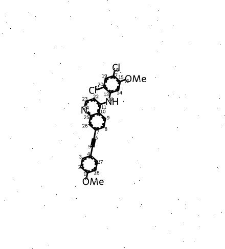 COc1ccc(C#Cc2ccc3c(Nc4cc(OC)c(Cl)cc4Cl)ccnc3c2)cc1